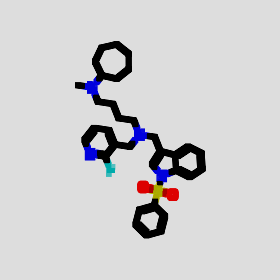 CN(CCCCN(Cc1cccnc1F)Cc1cn(S(=O)(=O)c2ccccc2)c2ccccc12)C1CCCCCC1